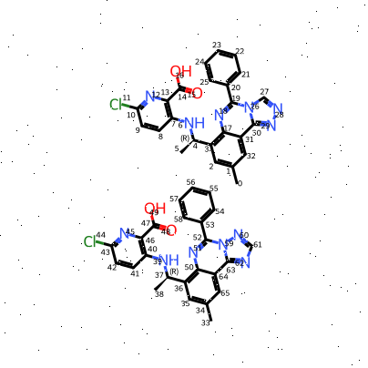 Cc1cc([C@@H](C)Nc2ccc(Cl)nc2C(=O)O)c2nc(-c3ccccc3)n3cnnc3c2c1.Cc1cc([C@@H](C)Nc2ccc(Cl)nc2C(=O)O)c2nc(-c3ccccc3)n3ncnc3c2c1